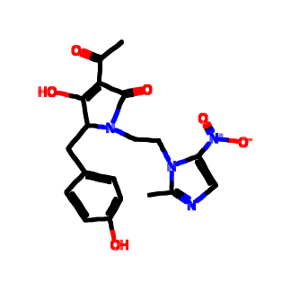 CC(=O)C1=C(O)C(Cc2ccc(O)cc2)N(CCn2c([N+](=O)[O-])cnc2C)C1=O